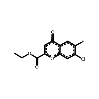 CCOC(=O)c1cc(=O)c2cc(F)c(Cl)cc2o1